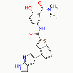 CN(C)C(=O)c1cc(NC(=O)c2cc3c(-c4cnc5[nH]ccc5c4)cccc3s2)ccc1O